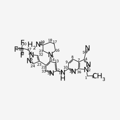 CCn1nc(C#N)c2ccc(Nc3cc(N4CCC[C@H](N)C4)c(-c4cnn(CC(F)(F)F)c4)cn3)nc21